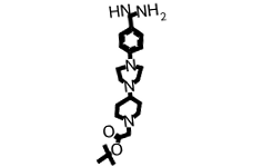 CC(C)(C)OC(=O)CN1CCC(N2CCN(c3ccc(C(=N)N)cc3)CC2)CC1